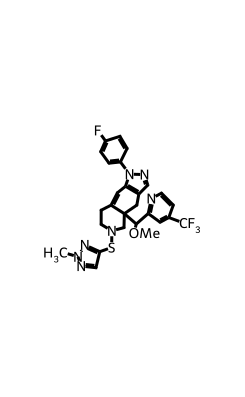 COC(c1cc(C(F)(F)F)ccn1)C12Cc3cnn(-c4ccc(F)cc4)c3C=C1CCN(Sc1cnn(C)n1)C2